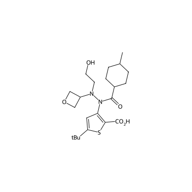 CC1CCC(C(=O)N(c2cc(C(C)(C)C)sc2C(=O)O)N(CCO)C2COC2)CC1